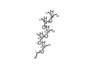 CCO[SiH](C)O[SiH](C)O[SiH](C)O[SiH](C)O[SiH](C)C